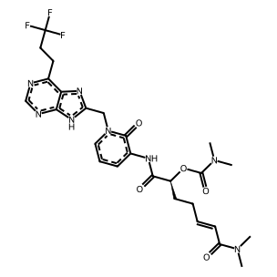 CN(C)C(=O)/C=C/CC[C@H](OC(=O)N(C)C)C(=O)Nc1cccn(Cc2nc3c(CCC(F)(F)F)ncnc3[nH]2)c1=O